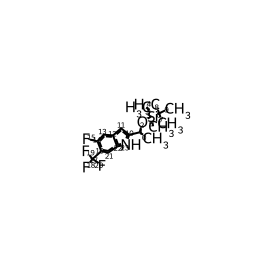 CC(O[Si](C)(C)C(C)(C)C)c1cc2cc(F)c(C(F)(F)F)cc2[nH]1